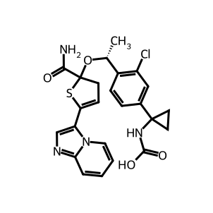 C[C@@H](OC1(C(N)=O)CC=C(c2cnc3ccccn23)S1)c1ccc(C2(NC(=O)O)CC2)cc1Cl